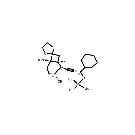 CCCCCC[C@]12CC[C@@H](O)[C@H](C#C[C@@H](O[Si](C)(C)C(C)(C)C)C3CCCCC3)[C@H]1CC21OCCO1